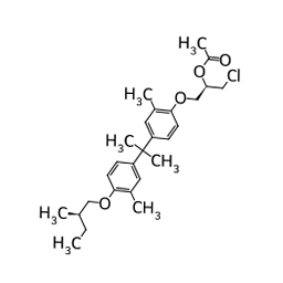 CC[C@@H](C)COc1ccc(C(C)(C)c2ccc(OC[C@H](CCl)OC(C)=O)c(C)c2)cc1C